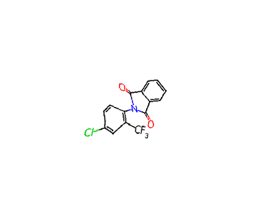 O=C1c2ccccc2C(=O)N1c1ccc(Cl)cc1C(F)(F)F